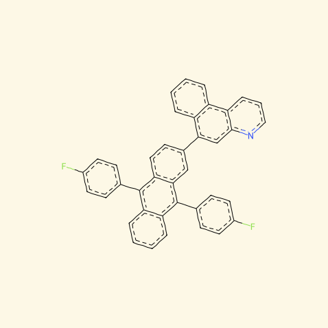 Fc1ccc(-c2c3ccccc3c(-c3ccc(F)cc3)c3cc(-c4cc5ncccc5c5ccccc45)ccc23)cc1